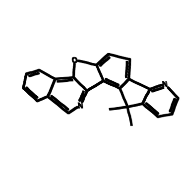 CC1(C)c2cccnc2-c2ccc3oc4c5ccccc5cnc4c3c21